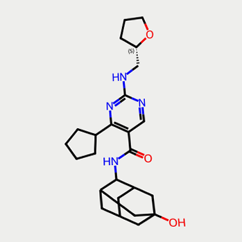 O=C(NC1C2CC3CC1CC(O)(C3)C2)c1cnc(NC[C@@H]2CCCO2)nc1C1CCCC1